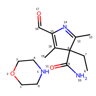 C1COCCN1.CCC1(C(N)=O)C(C)=NC(C=O)=C1C